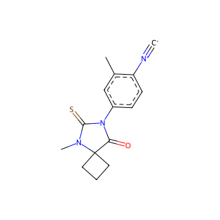 [C-]#[N+]c1ccc(N2C(=O)C3(CCC3)N(C)C2=S)cc1C